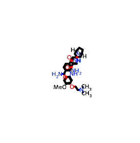 COc1ccc(Nc2cc(C(=O)N[C@H]3C[C@H]4CC[C@@H](C3)N4c3ccc(C(N)=O)cn3)ccc2C(N)=O)cc1OCCN(C)C